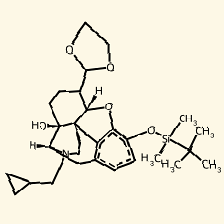 CC(C)(C)[Si](C)(C)Oc1ccc2c3c1O[C@H]1C(C4OCCO4)CC[C@@]4(O)[C@@H](C2)N(CC2CC2)CC[C@]314